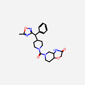 Cc1nc(C(c2ccccc2)C2CCN(C(=O)N3CCC4OCC(=O)NC4C3)CC2)no1